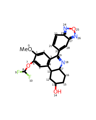 COc1cc2c(cc1OC(F)F)C1CC(O)CCC1N=C2c1ccc2nonc2c1